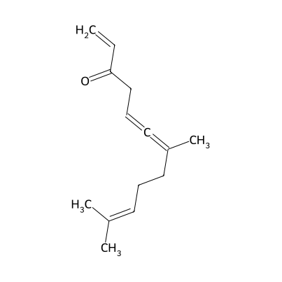 C=CC(=O)CC=C=C(C)CCC=C(C)C